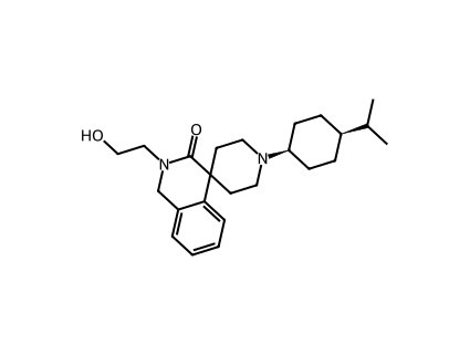 CC(C)[C@H]1CC[C@@H](N2CCC3(CC2)C(=O)N(CCO)Cc2ccccc23)CC1